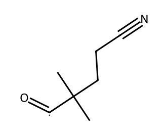 CC(C)([C]=O)CCC#N